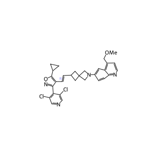 COCc1ccnc2ccc(N3CC4(CC(/C=C/c5c(-c6c(Cl)cncc6Cl)noc5C5CC5)C4)C3)cc12